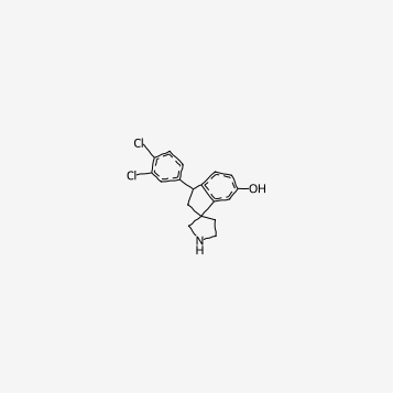 Oc1ccc2c(c1)C1(CCNC1)CC2c1ccc(Cl)c(Cl)c1